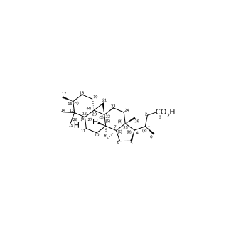 C[C@H](CC(=O)O)[C@H]1CC[C@@]2(C)[C@@H]3CC[C@H]4C(C)(C)[C@@H](C)CC[C@@]45C[C@@]35CC[C@]12C